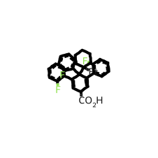 CCC1(C2(c3ccccc3F)C(c3ccccc3F)=CC(C(=O)O)C=C2c2ccccc2F)CCCCC1